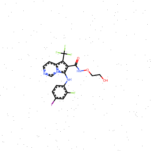 O=C(NOCCO)c1c(C(F)(F)F)c2ccncn2c1Nc1ccc(I)cc1F